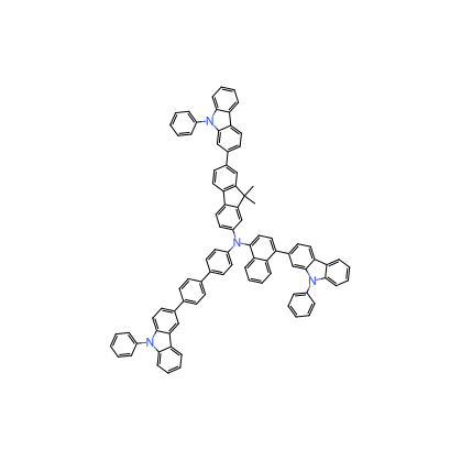 CC1(C)c2cc(-c3ccc4c5ccccc5n(-c5ccccc5)c4c3)ccc2-c2ccc(N(c3ccc(-c4ccc(-c5ccc6c(c5)c5ccccc5n6-c5ccccc5)cc4)cc3)c3ccc(-c4ccc5c6ccccc6n(-c6ccccc6)c5c4)c4ccccc34)cc21